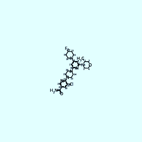 C[C@@H]1COCCN1c1cc(N2CCC(F)CC2)cc(N2CCN(c3ncc(C(N)=O)cc3Cl)CC2)n1